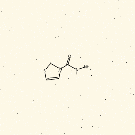 NNC(=O)N1[CH]SC=C1